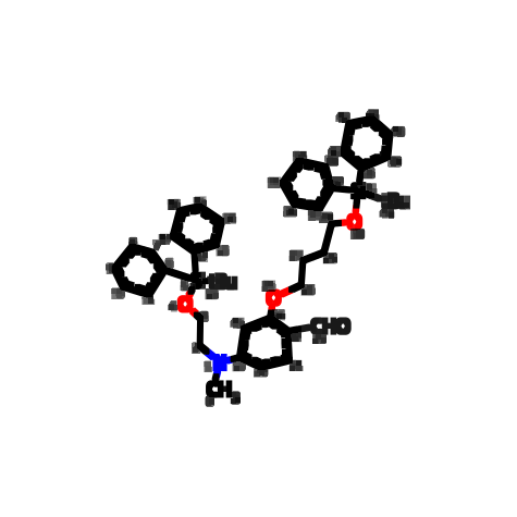 CN(CCO[Si](c1ccccc1)(c1ccccc1)C(C)(C)C)c1ccc(C=O)c(OCCCCO[Si](c2ccccc2)(c2ccccc2)C(C)(C)C)c1